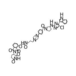 O=C(COc1cccc2c1C(=O)N(C1CCC(=O)NC1=O)C2=O)NCCCN1CCN(c2ccc(C(=O)N3CCCC(Nc4ncc(Cl)c(-c5c[nH]c6ccccc56)n4)C3)cc2)CC1